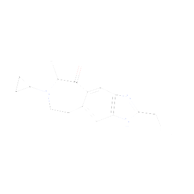 CCC1C(=O)c2cc3nc(CC(=O)O)[nH]c3cc2CCN1C1CC1